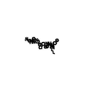 CCCCc1cc(NC(=O)Nc2ccc(Oc3ccnc(NC(=O)N4CC[C@H](N(C)C)C4)c3)c(Cl)c2Cl)n(-c2ccc(OC)cc2)n1